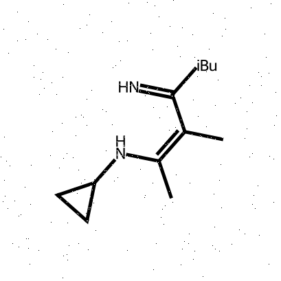 CCC(C)C(=N)/C(C)=C(/C)NC1CC1